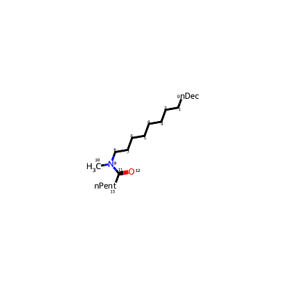 CCCCCCCCCCCCCCCCCCN(C)C(=O)CCCCC